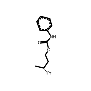 CC(C)[C@H](C)CCOC(=O)Nc1ccccc1